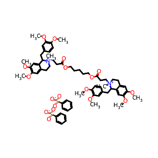 COc1ccc(CC2c3cc(OC)c(OC)cc3CC[N+]2(C)CCC(=O)OCCCCCOC(=O)CC[N+]2(C)CCc3cc(OC)c(OC)cc3C2Cc2ccc(OC)c(OC)c2)cc1OC.O=S(=O)([O-])c1ccccc1.O=S(=O)([O-])c1ccccc1